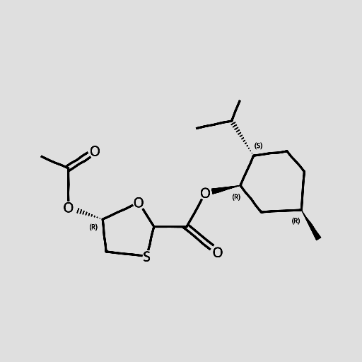 CC(=O)O[C@H]1CSC(C(=O)O[C@@H]2C[C@H](C)CC[C@H]2C(C)C)O1